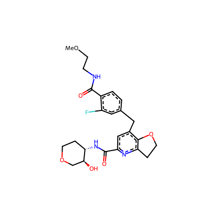 COCCNC(=O)c1ccc(Cc2cc(C(=O)N[C@H]3CCOC[C@@H]3O)nc3c2OCC3)cc1F